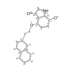 Clc1ccc(OC[CH]c2ccc3ccccc3c2)c2c(Cl)c[nH]c12